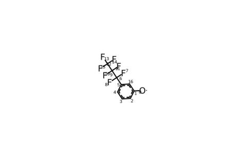 [O]c1cccc(C(F)(F)C(F)(F)C(F)(F)F)c1